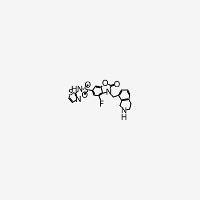 O=c1oc2cc(S(=O)(=O)Nc3nccs3)cc(F)c2n1Cc1cccc2c1CNCC2